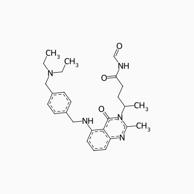 CCN(CC)Cc1ccc(CNc2cccc3nc(C)n(C(C)CCC(=O)NC=O)c(=O)c23)cc1